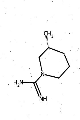 C[C@@H]1CCCN(C(=N)N)C1